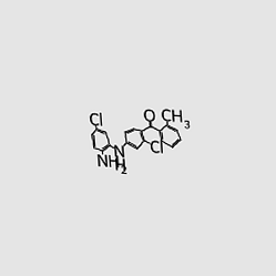 Cc1ccccc1C(=O)c1ccc(Nc2cc(Cl)ccc2N)cc1Cl